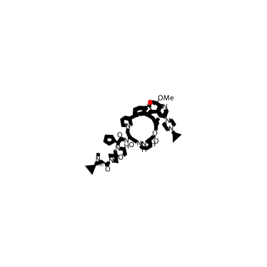 CCn1c(-c2cc(N3CCN(C4CC4)CC3)cnc2[C@H](C)OC)c2c3cc(ccc31)C1=CCCN(C1)C[C@H](NC(=O)[C@H](C1CCCC1)N1CCOC3(CN(C(=O)[C@H]4[C@@H](C5CC5)N4C)C3)C1)C(=O)N1CCC[C@H](N1)C(=O)OCC(C)(C)C2